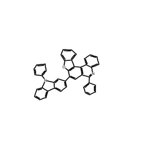 c1ccc(-c2nc3ccccc3c3c2cc(-c2ccc4c5ccccc5n(-c5ccccc5)c4c2)c2oc4ccccc4c23)cc1